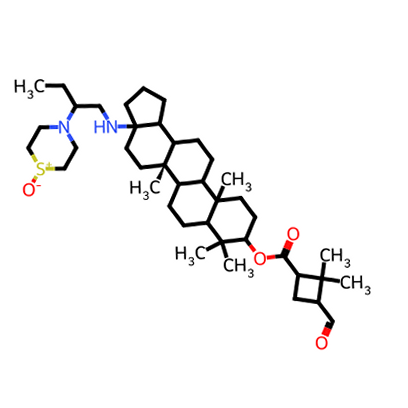 CCC(CNC12CCCC1C1CCC3C(CCC4C(C)(C)C(OC(=O)C5CC(C=O)C5(C)C)CCC34C)[C@]1(C)CC2)N1CC[S+]([O-])CC1